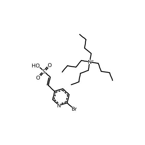 CCCC[N+](CCCC)(CCCC)CCCC.O=S(=O)(O)C=Cc1ccc(Br)nc1